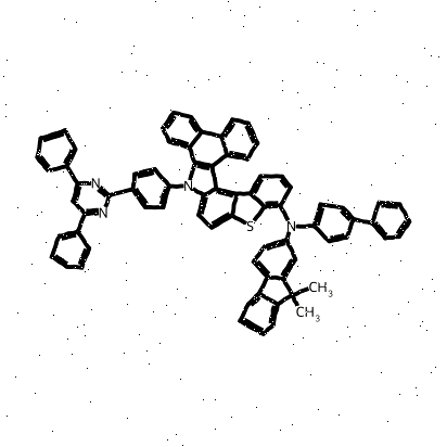 CC1(C)c2ccccc2-c2ccc(N(c3ccc(-c4ccccc4)cc3)c3cccc4c3sc3ccc5c(c34)c3c4ccccc4c4ccccc4c3n5-c3ccc(-c4nc(-c5ccccc5)cc(-c5ccccc5)n4)cc3)cc21